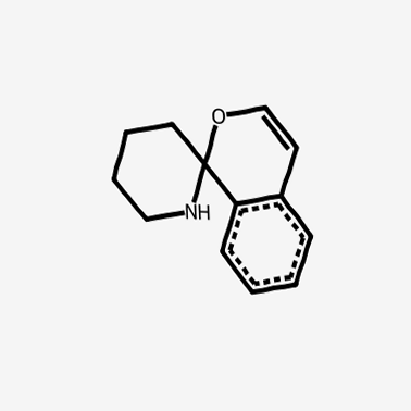 C1=Cc2ccccc2C2(CCCCN2)O1